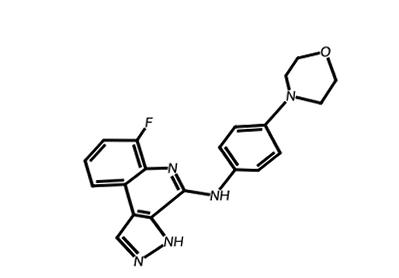 Fc1cccc2c1nc(Nc1ccc(N3CCOCC3)cc1)c1[nH]ncc12